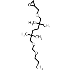 CCCOCOCC(C)(C)CCC(C)(C)COCC1CO1